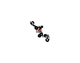 C[C@H]1CCCCN1c1nnc2ccc(O[C@@H]3CC[C@H](NC(=O)Nc4cc(C(C)(C)C)nn4-c4cccc(CCN5CCCN(C)CC5)c4)c4ccccc43)cn12